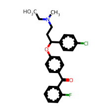 CN(CCC(Oc1ccc(C(=O)c2ccccc2F)cc1)c1ccc(Cl)cc1)CC(=O)O